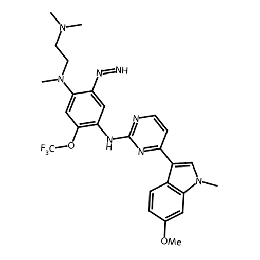 COc1ccc2c(-c3ccnc(Nc4cc(N=N)c(N(C)CCN(C)C)cc4OC(F)(F)F)n3)cn(C)c2c1